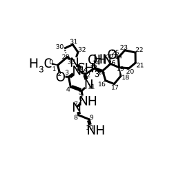 C[C@H](Oc1cc(N/N=C\C=N)nc(/C(O)=C2\CCC[C@@]3(CCCCC3=O)C2=N)n1)[C@@H]1CCCN1C